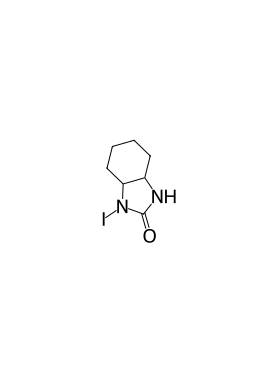 O=C1NC2CCCCC2N1I